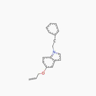 C=CCOc1ccc2c(ccn2CCc2ccccc2)c1